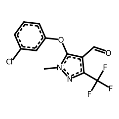 Cn1nc(C(F)(F)F)c(C=O)c1Oc1cccc(Cl)c1